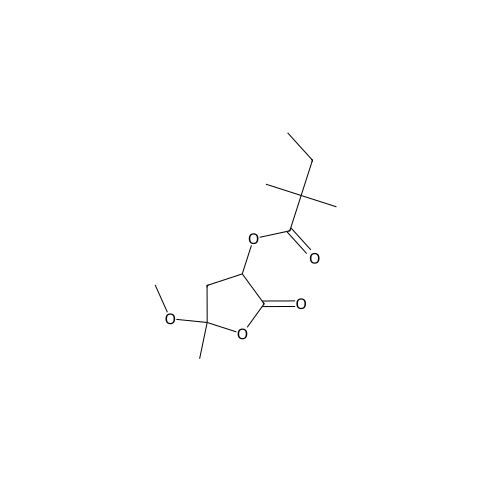 CCC(C)(C)C(=O)OC1CC(C)(OC)OC1=O